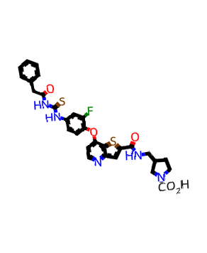 O=C(Cc1ccccc1)NC(=S)Nc1ccc(Oc2ccnc3cc(C(=O)NCC4CCN(C(=O)O)C4)sc23)c(F)c1